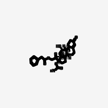 CCCC(=O)O[C@]1(C(=O)COC(=O)Cc2ccccc2)CC[C@H]2[C@@H]3CCC4=CC(=O)CC[C@]4(C)[C@H]3[C@@H](O)C[C@@]21C